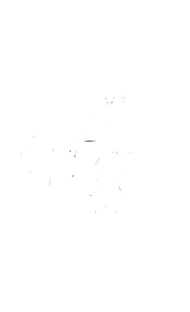 CC1=C(c2ccccc2)C(C)N(c2ccccc2)[C]=C1CCO